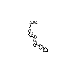 CCCCCCCCCCCCCCOc1ccc(C(=O)OCC(=O)N2CCN(c3ccccc3)CC2)o1